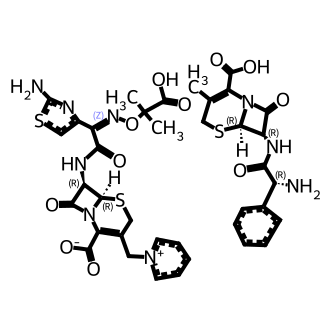 CC(C)(O/N=C(\C(=O)N[C@@H]1C(=O)N2C(C(=O)[O-])=C(C[n+]3ccccc3)CS[C@H]12)c1csc(N)n1)C(=O)O.CC1=C(C(=O)O)N2C(=O)[C@@H](NC(=O)[C@H](N)c3ccccc3)[C@H]2SC1